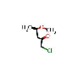 C=C(CC(=O)CCl)OC